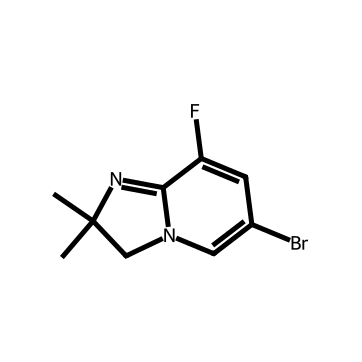 CC1(C)CN2C=C(Br)C=C(F)C2=N1